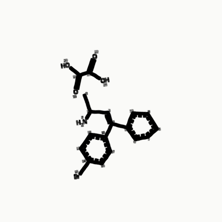 CC(N)C=C(c1ccccc1)c1ccc(Br)cc1.O=C(O)C(=O)O